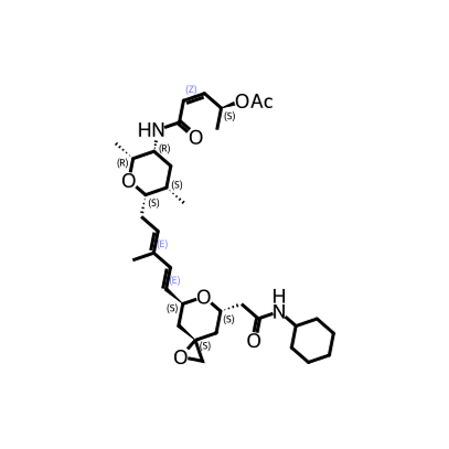 CC(=O)O[C@@H](C)/C=C\C(=O)N[C@@H]1C[C@H](C)[C@H](C/C=C(C)/C=C/[C@@H]2C[C@]3(CO3)C[C@@H](CC(=O)NC3CCCCC3)O2)O[C@@H]1C